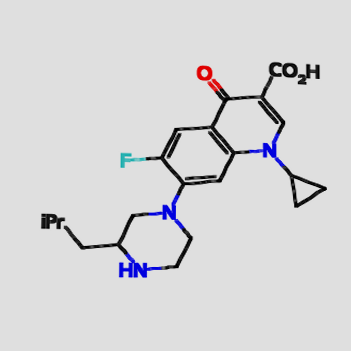 CC(C)CC1CN(c2cc3c(cc2F)c(=O)c(C(=O)O)cn3C2CC2)CCN1